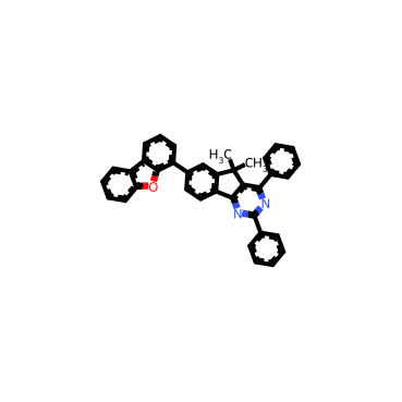 CC1(C)c2cc(-c3cccc4c3oc3ccccc34)ccc2-c2nc(-c3ccccc3)nc(-c3ccccc3)c21